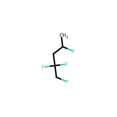 CC(F)CC(F)(F)[CH]F